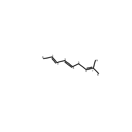 CC=CC=CCC=C(C)C